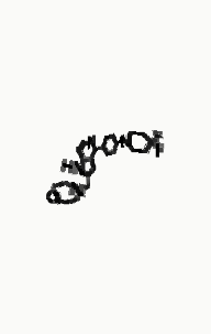 FC1(F)CCN(c2ccc(-c3nccc4[nH]c(CN5CCOCC5)cc34)cc2)CC1